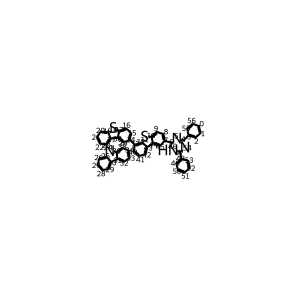 c1ccc(C2=NC(c3ccc4sc5c(-c6ccc7sc8cccc(-n9c%10ccccc%10c%10ccccc%109)c8c7c6)cccc5c4c3)NC(c3ccccc3)=N2)cc1